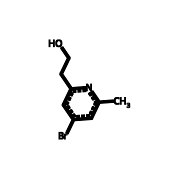 Cc1cc(Br)cc(CCO)n1